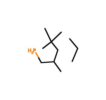 CC(CP)CC(C)(C)C.CCC